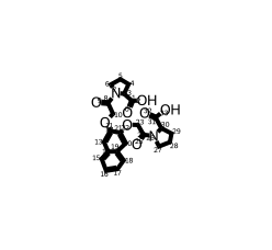 O=C(O)C1CCCN1C(=O)COc1cc2ccccc2cc1OCC(=O)N1CCCC1C(=O)O